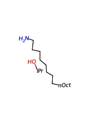 CC(C)O.CCCCCCCCCCCCCCCCN